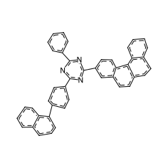 c1ccc(-c2nc(-c3ccc(-c4cccc5ccccc45)cc3)nc(-c3ccc4c(ccc5ccc6ccccc6c54)c3)n2)cc1